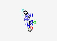 Fc1ccc2[nH]c(CNc3nc(Cl)nc4c3ncn4C3CCCCO3)nc2c1F